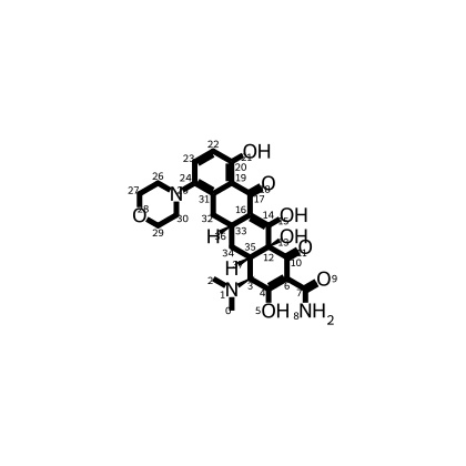 CN(C)[C@@H]1C(O)=C(C(N)=O)C(=O)[C@@]2(O)C(O)=C3C(=O)c4c(O)ccc(N5CCOCC5)c4C[C@H]3C[C@@H]12